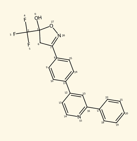 OC1(C(F)(F)F)CC(c2ccc(-c3ccnc(-c4ccccc4)c3)cc2)=NO1